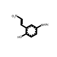 CC(=O)Nc1ccc(O)c(C=C[N+](=O)[O-])c1